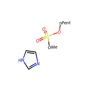 CCCCCOS(=O)(=O)OC.c1c[nH]cn1